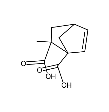 CC1(C(=O)O)CC2C=CC1(C(=O)O)C2